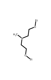 CCOCCN(C)CCOCC